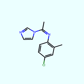 CC(=Nc1ccc(Cl)cc1C)n1ccnc1